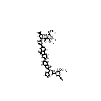 COC(=O)N[C@@H](CCC#N)C(=O)N[C@H](c1nc2ccc(-c3ccc4c(c3)C(F)(F)c3cc(-c5cnc([C@@H]6CC7(CC7)CN6C(=O)[C@@H](NC(=O)OC)C(C)C)[nH]5)ccc3-4)cc2[nH]1)C1CCCC1